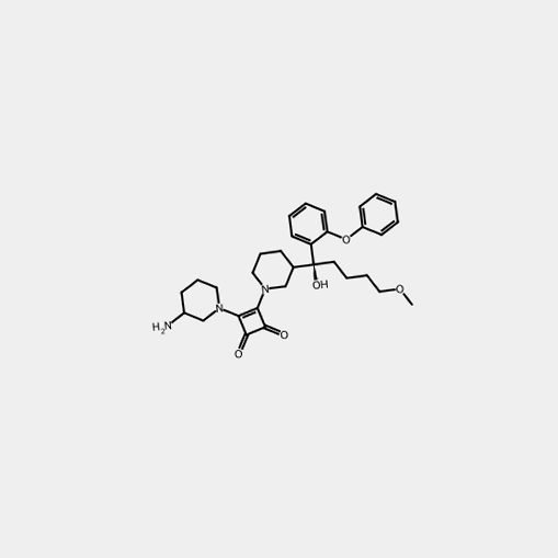 COCCCC[C@@](O)(c1ccccc1Oc1ccccc1)C1CCCN(c2c(N3CCCC(N)C3)c(=O)c2=O)C1